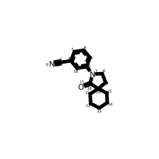 N#Cc1cccc(N2CCC3(CCCCC3)C2=O)c1